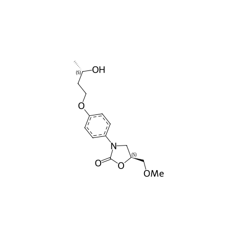 COC[C@@H]1CN(c2ccc(OCC[C@H](C)O)cc2)C(=O)O1